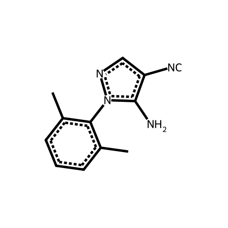 [C-]#[N+]c1cnn(-c2c(C)cccc2C)c1N